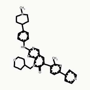 Cc1nc(-c2ccncc2)ccc1-c1cc2cnc(Nc3ccc(C4CCN(C)CC4)cc3)nc2n(CC2CCOCC2)c1=O